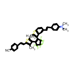 Cc1sc(C=Cc2ccc(C#N)cc2)c(C)c1C1=C(c2c(C)sc3ccc(C=Cc4ccc(N(C)C)cc4)cc23)C(F)(F)C(F)(F)C1(F)F